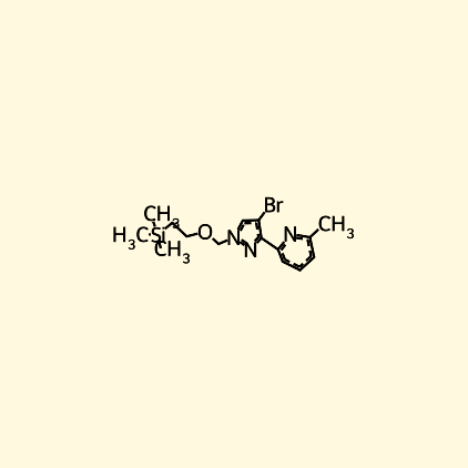 Cc1cccc(-c2nn(COCC[Si](C)(C)C)cc2Br)n1